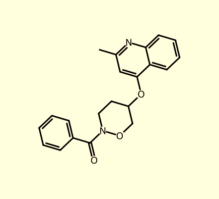 Cc1cc(OC2CCN(C(=O)c3ccccc3)OC2)c2ccccc2n1